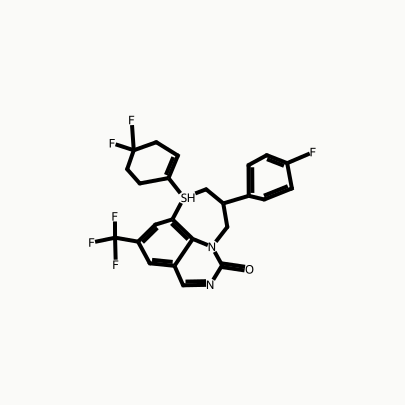 O=c1ncc2cc(C(F)(F)F)cc3c2n1CC(c1ccc(F)cc1)C[SH]3C1=CCC(F)(F)CC1